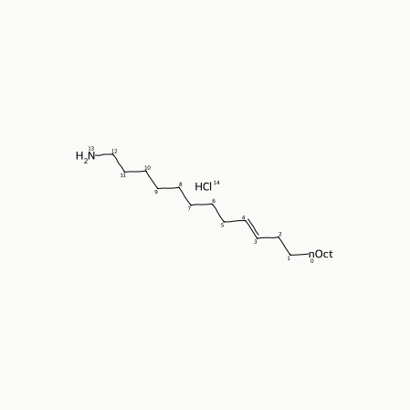 CCCCCCCCCCC=CCCCCCCCCN.Cl